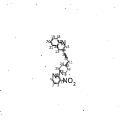 O=[N+]([O-])c1cccnc1N1CCC(=CC#Cc2cnc3ccccc3c2)CC1